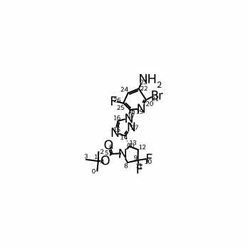 CC(C)(C)OC(=O)N1CC(F)(F)C[C@H]1c1ncn(-c2nc(Br)c(N)cc2F)n1